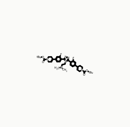 CN(C)CCn1c(-c2ccc(C3=CCN(C(=O)OC(C)(C)C)CC3)cc2F)nnc1-c1ccc(C2=CCN(C(=O)OC(C)(C)C)CC2)cc1F